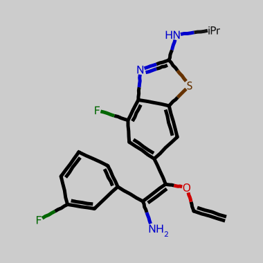 C=CO/C(=C(\N)c1cccc(F)c1)c1cc(F)c2nc(NC(C)C)sc2c1